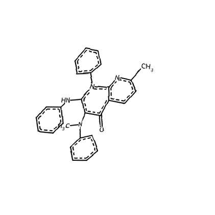 Cc1ccc2c(=O)c(N(C)c3ccccc3)c(Nc3ccccc3)n(-c3ccccc3)c2n1